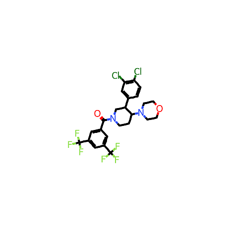 O=C(c1cc(C(F)(F)F)cc(C(F)(F)F)c1)N1CCC(N2CCOCC2)C(c2ccc(Cl)c(Cl)c2)C1